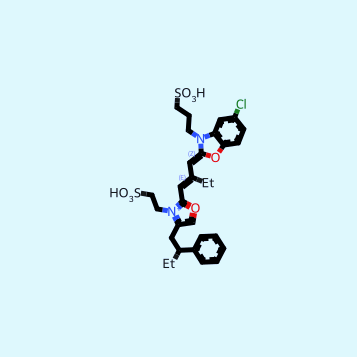 CCC(/C=C1\Oc2ccc(Cl)cc2N1CCCS(=O)(=O)O)=C\c1occ(CC(CC)c2ccccc2)[n+]1CCS(=O)(=O)O